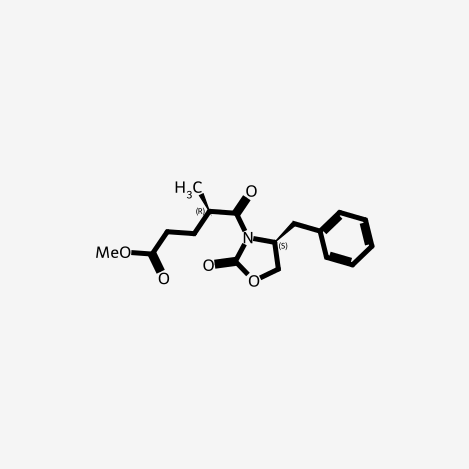 COC(=O)CC[C@@H](C)C(=O)N1C(=O)OC[C@@H]1Cc1ccccc1